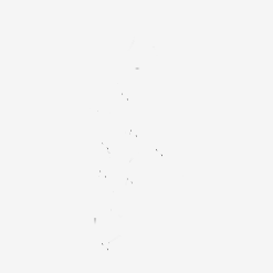 CCn1c(-c2ccncc2)nc2c(N3CCOCC3)nc(C(=O)NCc3cccc(C)c3)nc21